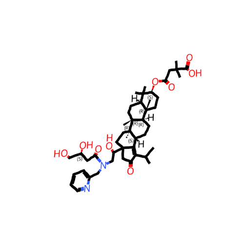 CC(C)C1=C2[C@H]3CC[C@@H]4[C@@]5(C)CC[C@H](OC(=O)CC(C)(C)C(=O)O)C(C)(C)[C@@H]5CC[C@@]4(C)[C@]3(C)CCC2(C(O)CN(Cc2ccccn2)C(=O)C[C@H](O)CO)CC1=O